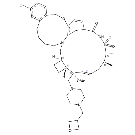 CO[C@@]1(CN2CCN(CC3COC3)CC2)/C=C/C[C@H](C)[C@@H](C)S(=O)(=O)NC(=O)C2C=CC3=C(C2)N(CCCCc2cc(Cl)ccc2CO3)C[C@@H]2CC[C@H]21